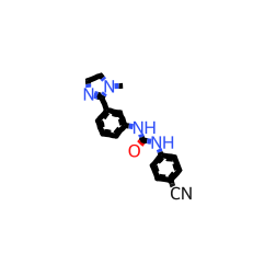 CN1CCN=C1c1cccc(NC(=O)Nc2ccc(C#N)cc2)c1